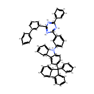 c1ccc(-c2cccc(-c3nc(-c4ccccc4)nc(-c4cccc(-n5c6ccccc6c6cc(C7(c8ccccc8)c8ccccc8-c8ccccc87)ccc65)c4)n3)c2)cc1